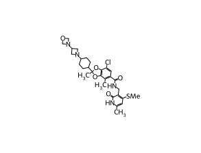 CSc1cc(C)[nH]c(=O)c1CNC(=O)c1cc(Cl)c2c(c1C)OC(C)(C1CCC(N3CC(N4COC4)C3)CC1)O2